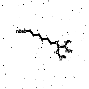 CCCCCCCCCCCCCCCCOP(OCCCC)N(C(C)C)C(C)C